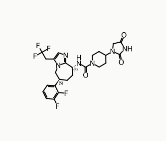 O=C1CN(C2CCN(C(=O)N[C@@H]3CC[C@@H](c4cccc(F)c4F)Cn4c(CC(F)(F)F)cnc43)CC2)C(=O)N1